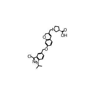 CC(C)n1nc(Cl)c2cc(COc3ccc4c(c3)OCC(CN3CC[C@@H](C(=O)O)C3)=C4)ccc21